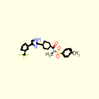 Cc1ccc(S(=O)(=O)N(C)C(=O)C2CCC(c3nc(-c4cccc(C(F)(F)F)c4)c[nH]3)CC2)cc1